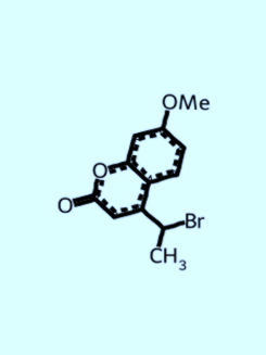 COc1ccc2c(C(C)Br)cc(=O)oc2c1